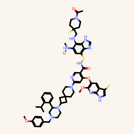 COc1ccc(CN2CCN(C3CC4(CCN(c5cc(Oc6cc7c(F)c[nH]c7nc6OC)c(C(=O)NSc6cc([NH+](C)[O-])c(NCC7(F)CCN(C(C)=O)CC7)c7[nH]cnc67)cn5)CC4)C3)C(c3ccccc3C(C)C)C2)cc1